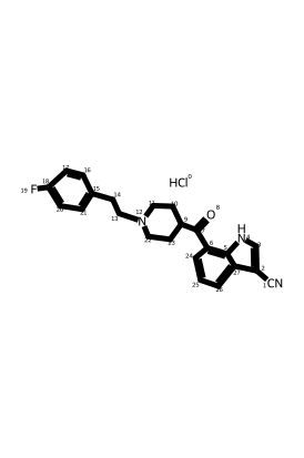 Cl.N#Cc1c[nH]c2c(C(=O)C3CCN(CCc4ccc(F)cc4)CC3)cccc12